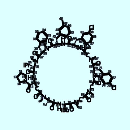 CC[C@H](C)[C@@H]1NC(=O)[C@H](C)N(C)C(=O)C[C@@H](C(=O)N2CCCC2)NC(=O)[C@H](C(C)C)N(C)C(=O)[C@H](Cc2ccccc2)N(C)C(=O)[C@H](Cc2cccc(C)c2)NC(=O)[C@H](Cc2cccc(Cl)c2)NC(=O)CN(C)C(=O)[C@H](Cc2ccc(Cl)cc2)N(C)C(=O)CN(C)C(=O)CN(C)C1=O